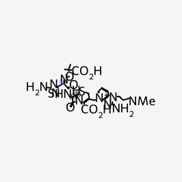 CNCCCn1c(N)nc2c1ccc[n+]2CC1=C(C(=O)O)N2C(=O)[C@@H](NC(=O)/C(=N\OC(C)(C)C(=O)O)c3nsc(N)n3)[C@H]2SC1